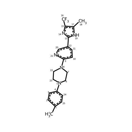 Cc1ccc(N2CCN(c3ccc(-c4nc(C(F)(F)F)c(C)[nH]4)cn3)CC2)cc1